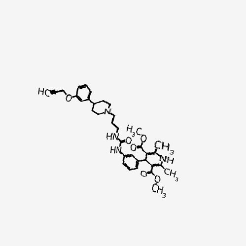 C#CCOc1cccc(C2CCN(CCCNC(=O)Nc3cccc(C4C(C(=O)OC)=C(C)NC(C)=C4C(=O)OC)c3)CC2)c1